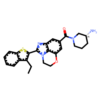 CCc1c(-c2nc3cc(C(=O)N4CCC[C@@H](N)C4)cc4c3n2CCO4)sc2ccccc12